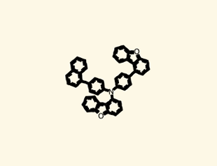 c1ccc2c(-c3ccc(N(c4ccc(-c5cccc6oc7ccccc7c56)cc4)c4cccc5oc6ccccc6c45)cc3)cccc2c1